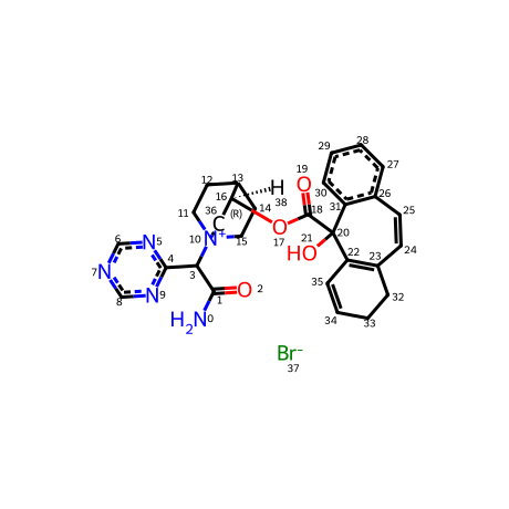 NC(=O)C(c1ncncn1)[N+]12CCC(CC1)[C@@H](OC(=O)C1(O)C3=C(C=Cc4ccccc41)CCC=C3)C2.[Br-]